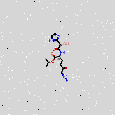 CC(C)OC(=O)[C@H](CCC(=O)C=[N+]=[N-])NC(=O)[C@H](O)c1ncc[nH]1